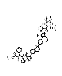 COC(=O)N[C@H](C(=O)N1CCC[C@H]1c1nc2c([nH]1)-c1ccc(-c3ccc4cc(-c5cnc([C@@H]6CCCN6C(=O)[C@H](NC(=O)OC)c6ccccc6)[nH]5)ccc4n3)cc1CCC2)C(C)C